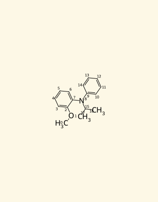 COc1ccccc1N(c1ccccc1)C(C)C